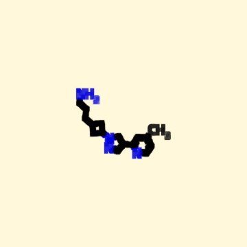 Cc1ccnc(C2C=NN(C3CC(CCCN)C3)C2)c1